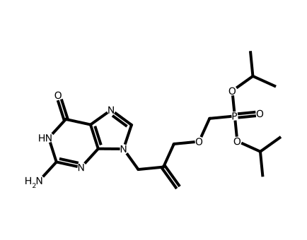 C=C(COCP(=O)(OC(C)C)OC(C)C)Cn1cnc2c(=O)[nH]c(N)nc21